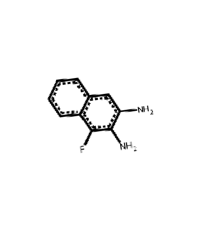 Nc1cc2ccccc2c(F)c1N